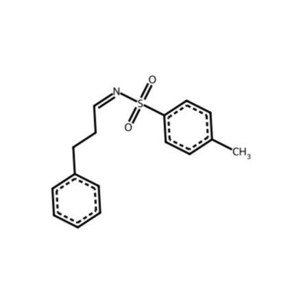 Cc1ccc(S(=O)(=O)/N=C\CCc2ccccc2)cc1